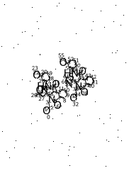 COCCN1C(=O)c2ccccc2C(C(=O)Nc2cccc(OC)c2)C1c1cc(C)on1.COCCN1C(=O)c2ccccc2C(C(=O)Nc2cccc(OC)c2)C1c1nccs1